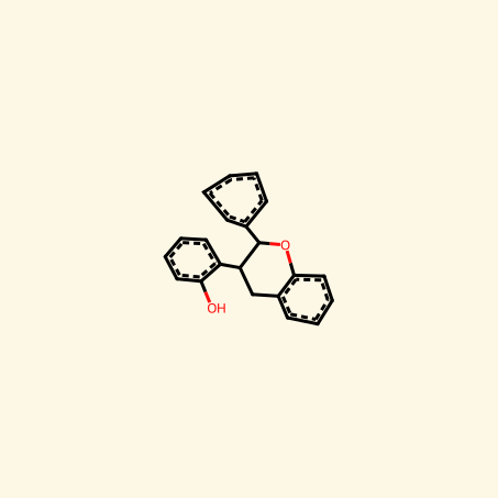 Oc1ccccc1C1Cc2ccccc2OC1c1ccccc1